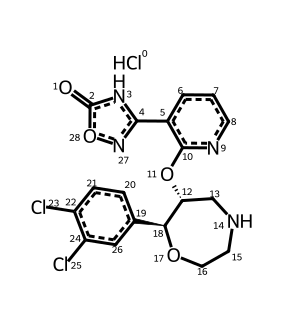 Cl.O=c1[nH]c(-c2cccnc2O[C@@H]2CNCCO[C@H]2c2ccc(Cl)c(Cl)c2)no1